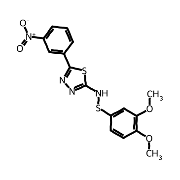 COc1ccc(SNc2nnc(-c3cccc([N+](=O)[O-])c3)s2)cc1OC